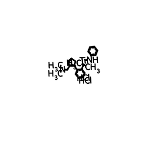 CN(C)CC1=C(c2ccccc2[C](C)(C)[Ti][NH]c2ccccc2)CC=C1.Cl.Cl